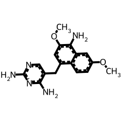 COc1ccc2c(Cc3cnc(N)nc3N)cc(OC)c(N)c2c1